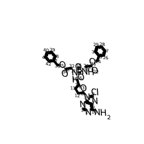 Nc1ncnc2c1nc(Cl)n2C1CCC(COP(=O)(NCC(=O)OCc2ccccc2)NCC(=O)OCc2ccccc2)O1